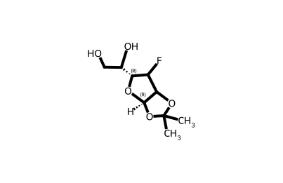 CC1(C)OC2C(F)[C@@H](C(O)CO)O[C@@H]2O1